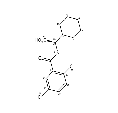 O=C(N[C@@H](C(=O)O)C1CCCCC1)c1cc(Cl)ccc1Cl